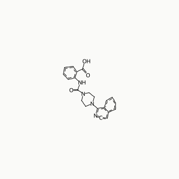 O=C(O)c1ccccc1NC(=O)N1CCN(c2nccc3ccccc23)CC1